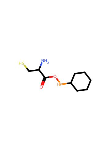 NC(CS)C(=O)OPC1CCCCC1